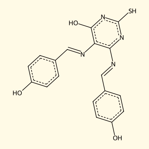 Oc1ccc(C=Nc2nc(S)nc(O)c2N=Cc2ccc(O)cc2)cc1